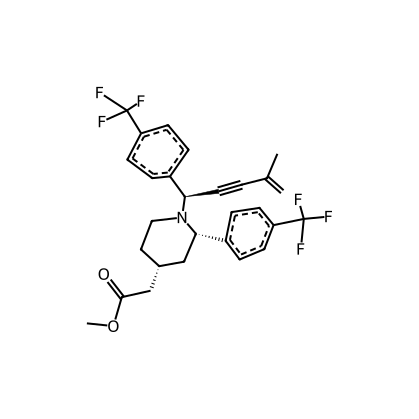 C=C(C)C#C[C@H](c1ccc(C(F)(F)F)cc1)N1CC[C@@H](CC(=O)OC)C[C@H]1c1ccc(C(F)(F)F)cc1